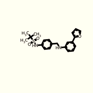 CC(C)(C)S(=O)(=O)Nc1ccc(CNc2cccc(-c3ccco3)c2)cc1